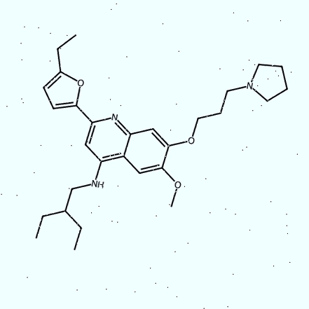 CCc1ccc(-c2cc(NCC(CC)CC)c3cc(OC)c(OCCCN4CCCC4)cc3n2)o1